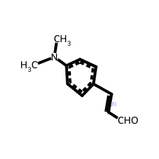 CN(C)c1ccc(/C=C/C=O)cc1